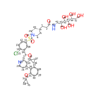 O=C(CCC1CCN(S(=O)(=O)c2ccc(Cl)c(COC3(c4cnccc4-c4ccccc4OC4CC4)CC3)c2)CC1)NCC(O)C(O)C(O)C(O)CO